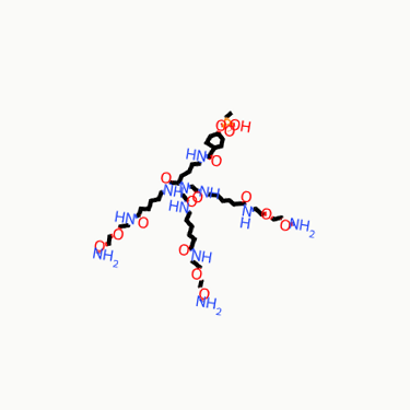 CCP(=O)(O)OC1CCC(C(=O)NCCCCC(C(=O)NCCCCCC(=O)NCCOCCON)N(CC(=O)NCCCCCC(=O)NCCOCCON)CC(=O)NCCCCCC(=O)NCCOCCON)CC1